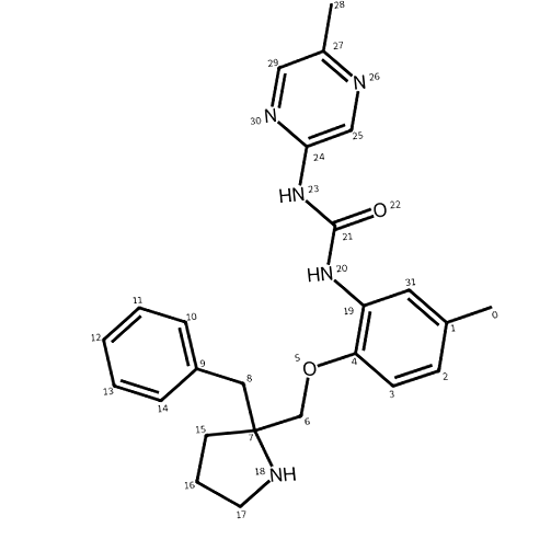 Cc1ccc(OCC2(Cc3ccccc3)CCCN2)c(NC(=O)Nc2cnc(C)cn2)c1